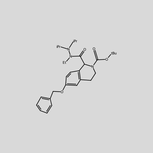 CCN(C(=O)C1c2ccc(OCc3ccccc3)cc2CCN1C(=O)OC(C)(C)C)N(C(C)C)C(C)C